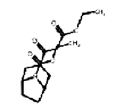 CCOC(=O)CC(=O)C1CC2CCC(C1)N2C(=O)OCC